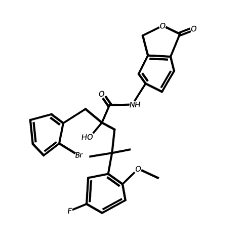 COc1ccc(F)cc1C(C)(C)CC(O)(Cc1ccccc1Br)C(=O)Nc1ccc2c(c1)COC2=O